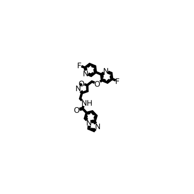 O=C(NCC1=NOC(COc2cc(F)cnc2-c2ccc(F)nc2)C1)c1ccc2nccn2c1